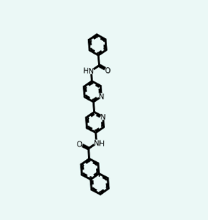 O=C(Nc1ccc(-c2ccc(NC(=O)c3ccc4ccccc4c3)cn2)nc1)c1ccccc1